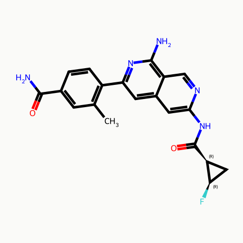 Cc1cc(C(N)=O)ccc1-c1cc2cc(NC(=O)[C@H]3C[C@H]3F)ncc2c(N)n1